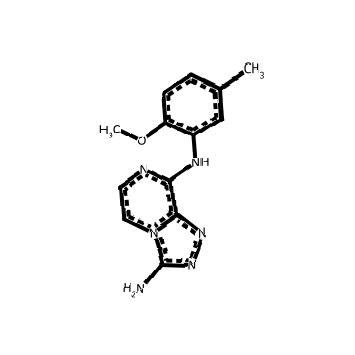 COc1ccc(C)cc1Nc1nccn2c(N)nnc12